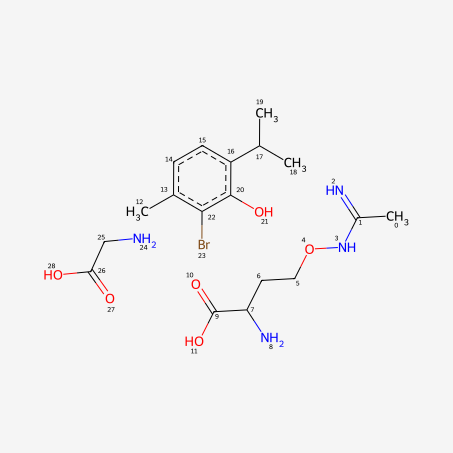 CC(=N)NOCCC(N)C(=O)O.Cc1ccc(C(C)C)c(O)c1Br.NCC(=O)O